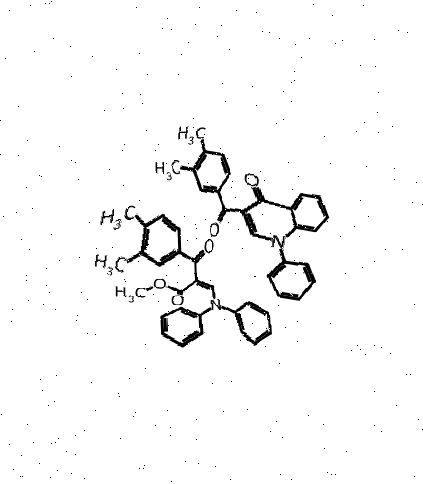 COC(=O)C(=CN(c1ccccc1)c1ccccc1)C(=O)c1ccc(C)c(C)c1.Cc1ccc(C(=O)c2cn(-c3ccccc3)c3ccccc3c2=O)cc1C